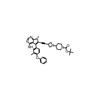 Cc1cc(-c2c(C#CC3CN(C4CCN(C(=O)OC(C)(C)C)CC4)C3)n(C)c3ncnc(N)c23)ccc1Oc1ccccc1